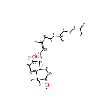 CC(C)=CCC/C(C)=C/CC/C(C)=C/CC[C@@H]1[C@@]2(C)CC[C@H](O)C(C)(C)C2CC[C@@]1(C)O